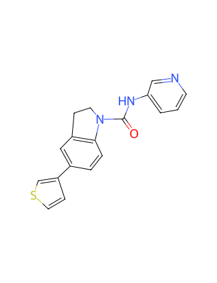 O=C(Nc1cccnc1)N1CCc2cc(-c3ccsc3)ccc21